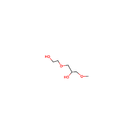 COCC(O)COCCO